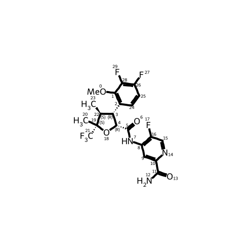 COc1c([C@@H]2[C@H](C(=O)Nc3cc(C(N)=O)ncc3F)O[C@](C)(C(F)(F)F)[C@H]2C)ccc(F)c1F